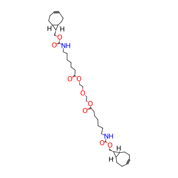 O=C(CCCCCCNC(=O)OC[C@@H]1[C@@H]2CCC#CCC[C@@H]21)OCCOCCOC(=O)CCCCCCNC(=O)OC[C@@H]1[C@@H]2CCC#CCC[C@@H]21